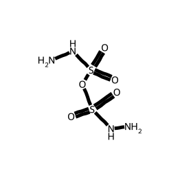 NNS(=O)(=O)OS(=O)(=O)NN